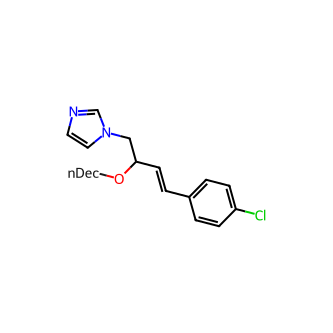 CCCCCCCCCCOC(/C=C/c1ccc(Cl)cc1)Cn1ccnc1